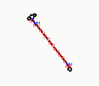 O=C(CCOCCOCCOCCOCCOCCOCCOCCOCCOCCOCCOCCOCCNC(=O)OC1CC/C=C/CCC1)NCCC(=O)N1Cc2ccccc2C#Cc2ccccc21